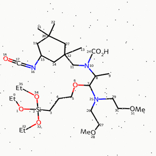 CCO[Si](CCCOC(C(C)N(CC1(C)CC(N=C=O)CC(C)(C)C1)C(=O)O)N(CCOC)CCOC)(OCC)OCC